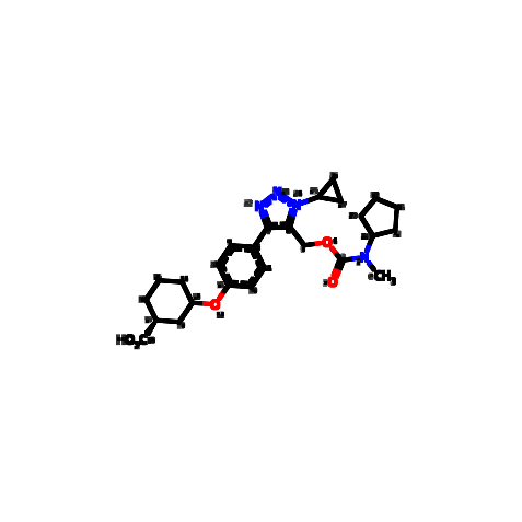 CN(C(=O)OCc1c(-c2ccc(OC3CCC[C@H](C(=O)O)C3)cc2)nnn1C1CC1)C1CCCC1